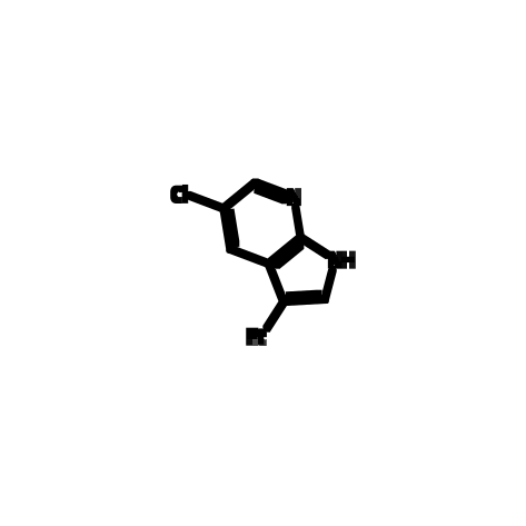 CCc1c[nH]c2ncc(Cl)cc12